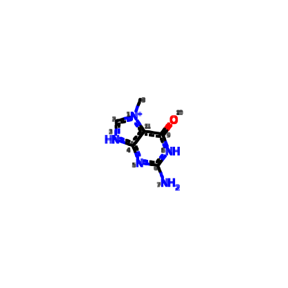 C[n+]1c[nH]c2nc(N)[nH]c(=O)c21